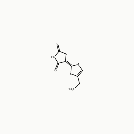 O=C(O)CC1=CS/C(=C2\SC(=S)NC2=O)S1